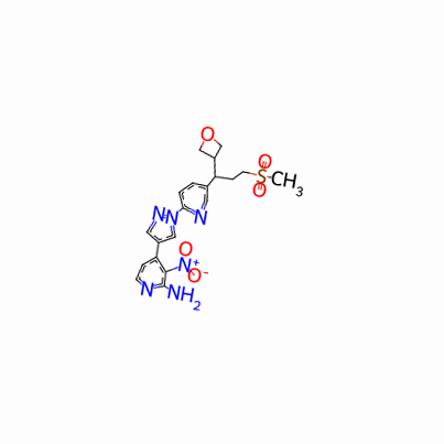 CS(=O)(=O)CCC(c1ccc(-n2cc(-c3ccnc(N)c3[N+](=O)[O-])cn2)nc1)C1COC1